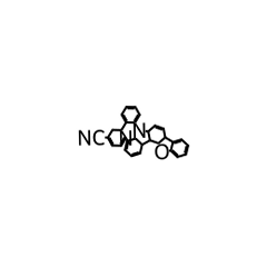 N#CC1=CC=NC(c2ccccc2N2C3C=CC=CC3C3C4Oc5ccccc5C4C=CC32)C1